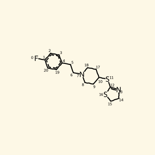 Fc1ccc(CCN2CCC(SC3=NCCS3)CC2)cc1